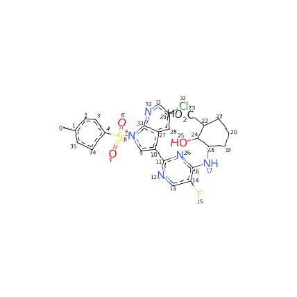 Cc1ccc(S(=O)(=O)n2cc(-c3ncc(F)c(NC4CCCC(C(=O)O)C4O)n3)c3cc(Cl)cnc32)cc1